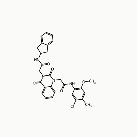 COc1cc(C)c(Cl)cc1NC(=O)Cn1c(=O)n(CC(=O)NC2Cc3ccccc3C2)c(=O)c2ccccc21